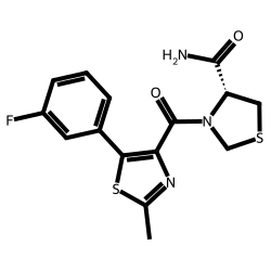 Cc1nc(C(=O)N2CSC[C@H]2C(N)=O)c(-c2cccc(F)c2)s1